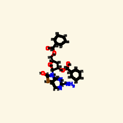 Nc1ncc2sc(=O)n([C@@H]3O[C@H](COC(=O)c4ccccc4)C[C@H]3OC(=O)c3ccccc3)c2n1